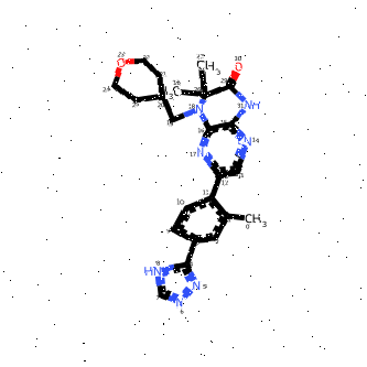 Cc1cc(-c2nnc[nH]2)ccc1-c1cnc2c(n1)N(CC1CCOCC1)C(C)(C)C(=O)N2